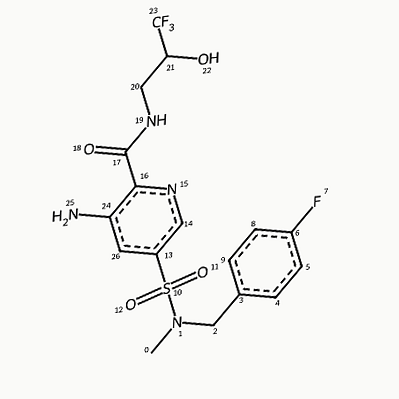 CN(Cc1ccc(F)cc1)S(=O)(=O)c1cnc(C(=O)NCC(O)C(F)(F)F)c(N)c1